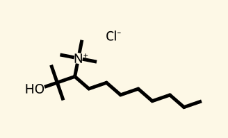 CCCCCCCCC(C(C)(C)O)[N+](C)(C)C.[Cl-]